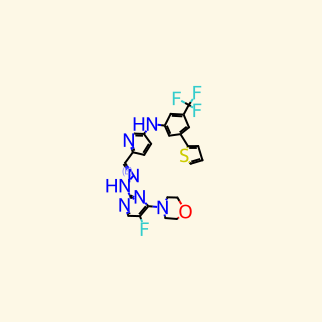 Fc1cnc(N/N=C/c2ccc(Nc3cc(-c4cccs4)cc(C(F)(F)F)c3)cn2)nc1N1CCOCC1